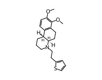 COc1ccc2c(c1OC)CC[C@@H]1[C@@H]2CCCN1CCc1cccs1